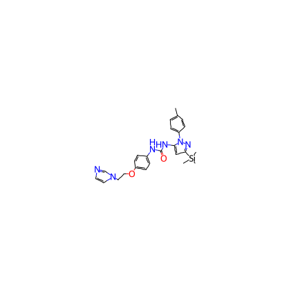 Cc1ccc(-n2nc([Si](C)(C)C)cc2NC(=O)Nc2ccc(OCCn3ccnc3)cc2)cc1